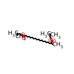 CCC(CCCCCCCCCCCCCCCCC(=O)OCCC(C)C)C(=O)OCCC(C)C